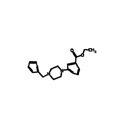 CCOC(=O)c1cccc(N2CCN(Cc3ccccc3)CC2)c1